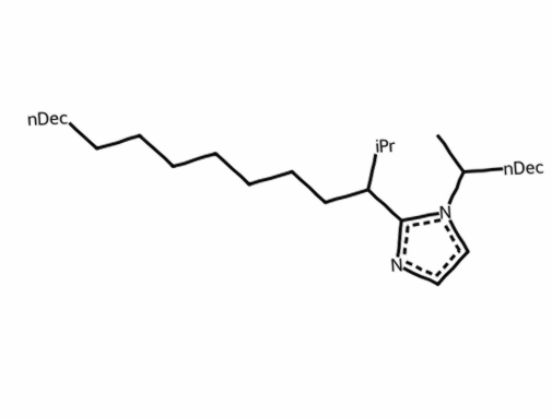 CCCCCCCCCCCCCCCCCC(c1nccn1C(C)CCCCCCCCCC)C(C)C